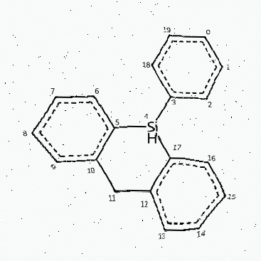 c1ccc([SiH]2c3ccccc3Cc3ccccc32)cc1